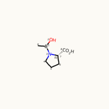 CB(O)N1CCC[C@H]1C(=O)O